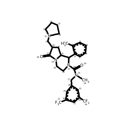 Cc1ccccc1C1C2CC(CN3CCCC3)C(=O)N2CCN1C(=O)N(C)Cc1cc(C(F)(F)F)cc(C(F)(F)F)c1